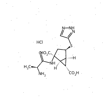 C[C@H](N)C(=O)N[C@@]1(C(=O)O)C[C@@H](Sc2cn[nH]n2)[C@H]2[C@H](C(=O)O)[C@H]21.Cl